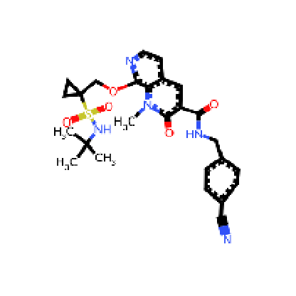 Cn1c(=O)c(C(=O)NCc2ccc(C#N)cc2)cc2ccnc(OCC3(S(=O)(=O)NC(C)(C)C)CC3)c21